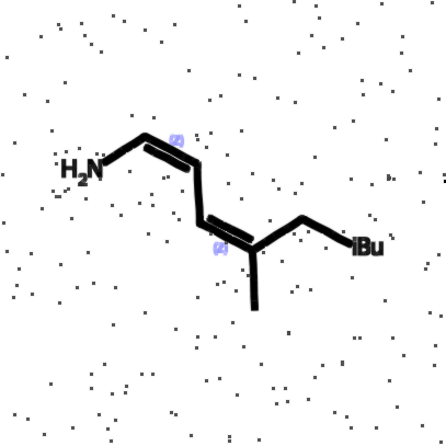 CCC(C)C/C(C)=C\C=C/N